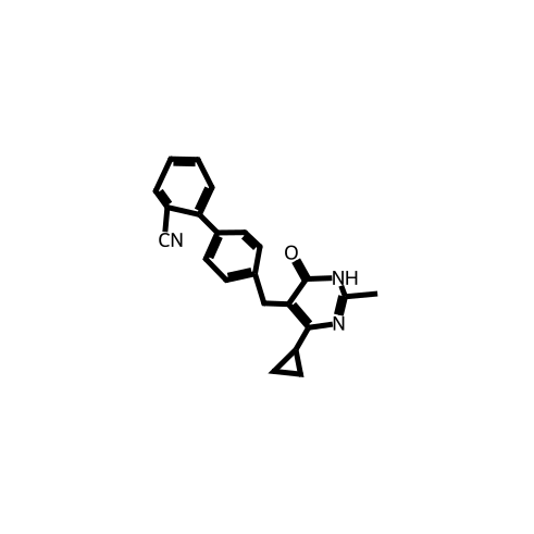 Cc1nc(C2CC2)c(Cc2ccc(-c3ccccc3C#N)cc2)c(=O)[nH]1